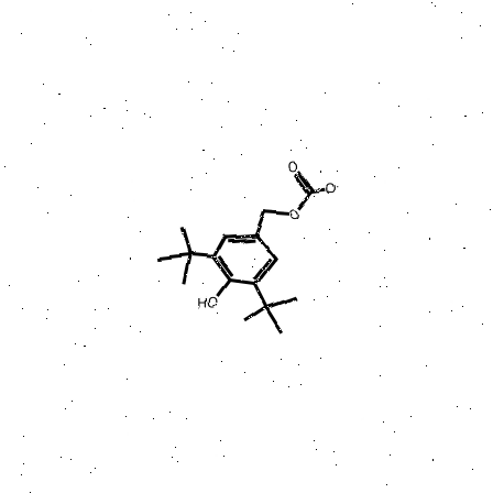 CC(C)(C)c1cc(COC([O])=O)cc(C(C)(C)C)c1O